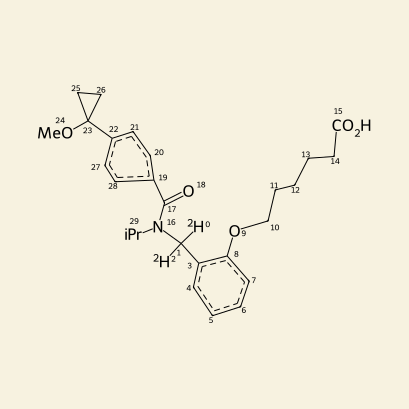 [2H]C([2H])(c1ccccc1OCCCCCC(=O)O)N(C(=O)c1ccc(C2(OC)CC2)cc1)C(C)C